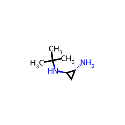 CC(C)(C)N[C@@H]1C[C@H]1N